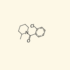 CC1CCCCN1C(=O)c1ccccc1Cl